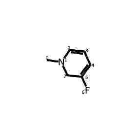 CN1C=CC=C(F)C1